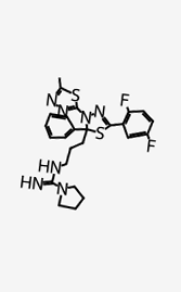 Cc1nnc(N2N=C(c3cc(F)ccc3F)SC2(CCCNC(=N)N2CCCC2)c2ccccc2)s1